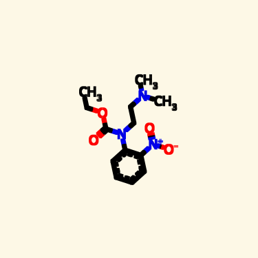 CCOC(=O)N(CCN(C)C)c1ccccc1[N+](=O)[O-]